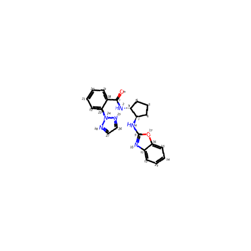 O=C(N[C@@H]1CCC[C@H]1Nc1nc2ccccc2o1)c1ccccc1-n1nccn1